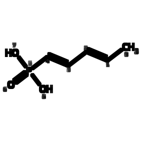 CC=CC=CP(=O)(O)O